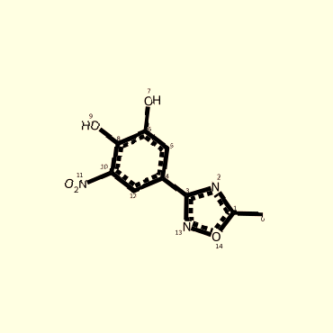 Cc1nc(-c2cc(O)c(O)c([N+](=O)[O-])c2)no1